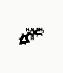 CCC(N)(N)NCc1ccccc1